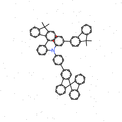 CC1(C)c2ccccc2-c2cc(-c3cccc(N(c4ccc(-c5ccc6c(c5)-c5ccccc5C65c6ccccc6-c6ccccc65)cc4)c4ccccc4-c4cccc5c4-c4ccccc4C5(C)C)c3)ccc21